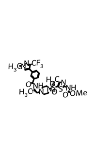 COC(=O)Nc1nc(C)c(S(=O)(=O)N2CCN(C[C@H](C)NC(=O)c3cccc(-c4cn(C)nc4C(F)(F)F)c3)CC2)s1